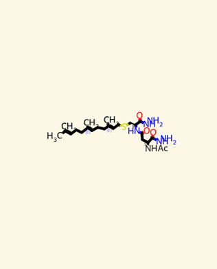 CC(=O)N[C@@H](CC(=O)N[C@@H](CSC/C=C(\C)CC/C=C(\C)CCC=C(C)C)C(=O)NN)C(=O)NN